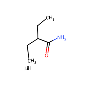 CCC(CC)C(N)=O.[LiH]